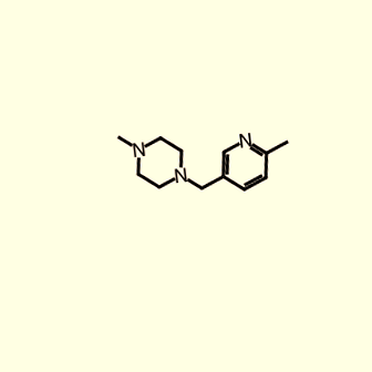 Cc1ccc(CN2CCN(C)CC2)cn1